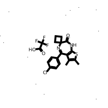 Cc1sc2c(c1C)C(c1ccc(Cl)cc1)=NC1(CCC1)C(=O)N2.O=C(O)C(F)(F)F